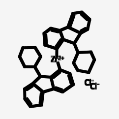 [Cl-].[Cl-].c1ccc2c(c1)-c1ccc[c]([Zr+2][c]3cccc4c3C(C3CCCCC3)c3ccccc3-4)c1C2C1CCCCC1